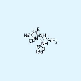 CC(C)(C)OC(=O)NC[C@@H](CCC(F)(F)F)Nc1nc(Cl)c(C#N)cc1F